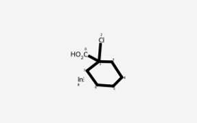 O=C(O)C1(Cl)CCCCC1.[In]